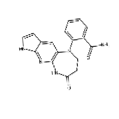 NC(=O)c1ccccc1N1CCC(=O)Nc2nc3[nH]ccc3cc21